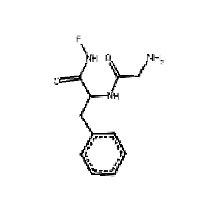 NCC(=O)NC(Cc1ccccc1)C(=O)NF